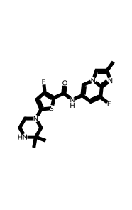 Cc1cn2cc(NC(=O)c3sc(N4CCNC(C)(C)C4)cc3F)cc(F)c2n1